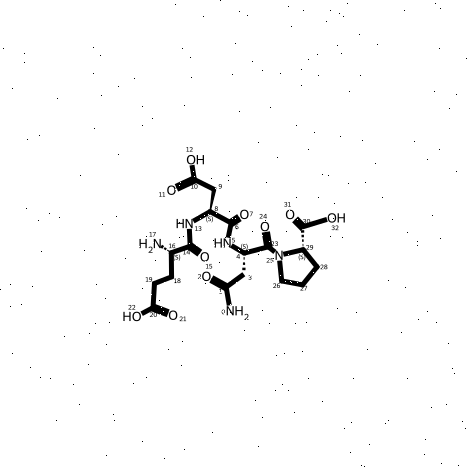 NC(=O)C[C@H](NC(=O)[C@H](CC(=O)O)NC(=O)[C@@H](N)CCC(=O)O)C(=O)N1CCC[C@H]1C(=O)O